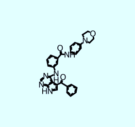 O=C(Nc1ccc(N2CCOCC2)cc1)c1cccc(Nc2ncnc3[nH]cc(C(=O)c4ccccc4)c23)c1